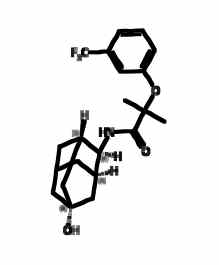 CC(C)(Oc1cccc(C(F)(F)F)c1)C(=O)N[C@H]1[C@@H]2CC3C[C@H]1C[C@](O)(C3)C2